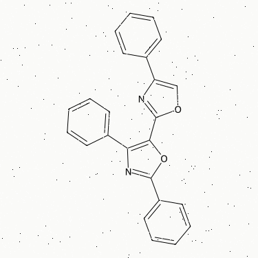 [c]1ccccc1-c1nc(-c2ccccc2)c(-c2nc(-c3ccccc3)co2)o1